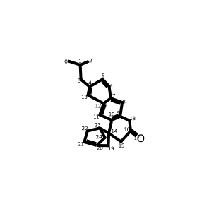 CC(C)Cc1ccc2cc3c(cc2c1)C1(CC(=O)C3)CC2=CCC1C2